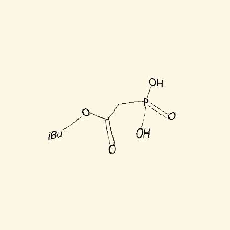 CCC(C)OC(=O)CP(=O)(O)O